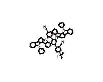 N#Cc1ccc(-c2ccc(-c3ccc(C(F)(F)F)cc3C#N)cc2-n2c3ccccc3c3c2ccc2c4ccccc4n(-c4ccccc4)c23)c(-n2c3ccccc3c3c2ccc2c4ccccc4n(-c4ccccc4)c23)c1